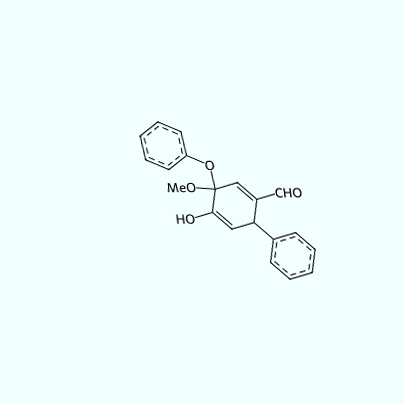 COC1(Oc2ccccc2)C=C(C=O)C(c2ccccc2)C=C1O